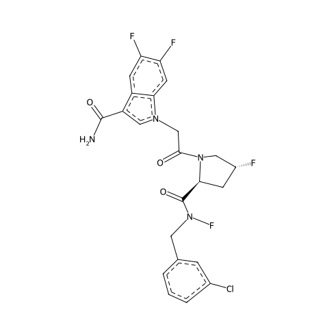 NC(=O)c1cn(CC(=O)N2C[C@H](F)C[C@H]2C(=O)N(F)Cc2cccc(Cl)c2)c2cc(F)c(F)cc12